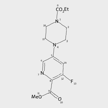 CCOC(=O)N1CCN(c2cnc(C(=O)OC)c(F)c2)CC1